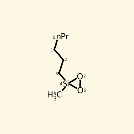 CCCCCC[Si]1(C)OO1